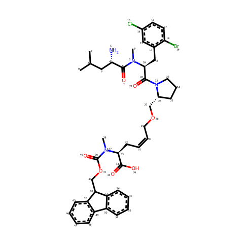 CC(C)C[C@H](N)C(=O)N(C)[C@@H](Cc1cc(Cl)ccc1Br)C(=O)N1CCC[C@@H]1COC/C=C\C[C@@H](C(=O)O)N(C)C(=O)OCC1c2ccccc2-c2ccccc21